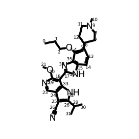 CCCOc1c(C2CCN(C)CC2)ccc2[nH]c(-c3c(OC)ncc4c(C#N)c(C(C)C)[nH]c34)nc12